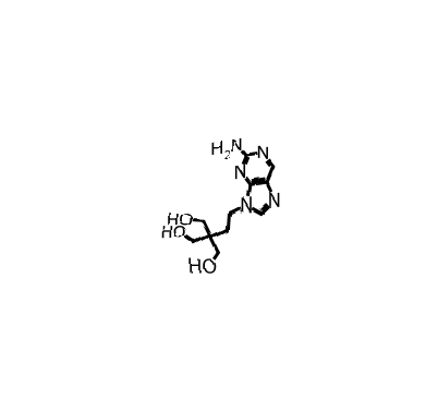 Nc1ncc2ncn(CCC(CO)(CO)CO)c2n1